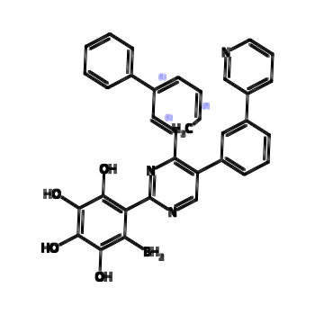 Bc1c(O)c(O)c(O)c(O)c1-c1ncc(-c2cccc(-c3cccnc3)c2)c(/C=C/C(=C\C=C/C)c2ccccc2)n1